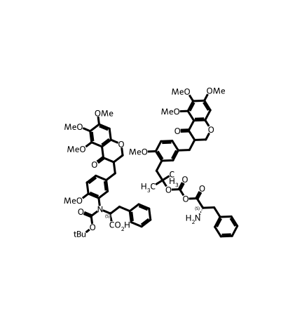 COc1ccc(CC2COc3cc(OC)c(OC)c(OC)c3C2=O)cc1CC(C)(C)OC(=O)OC(=O)[C@@H](N)Cc1ccccc1.COc1ccc(CC2COc3cc(OC)c(OC)c(OC)c3C2=O)cc1N(C(=O)OC(C)(C)C)[C@@H](Cc1ccccc1)C(=O)O